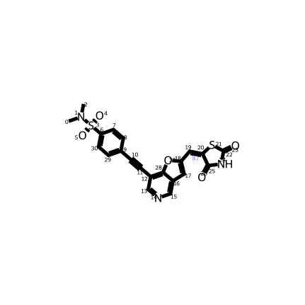 CN(C)S(=O)(=O)c1ccc(C#Cc2cncc3cc(/C=C4/SC(=O)NC4=O)oc23)cc1